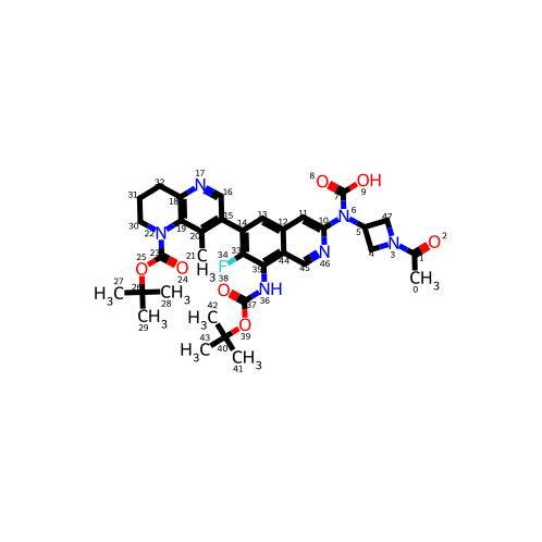 CC(=O)N1CC(N(C(=O)O)c2cc3cc(-c4cnc5c(c4C)N(C(=O)OC(C)(C)C)CCC5)c(F)c(NC(=O)OC(C)(C)C)c3cn2)C1